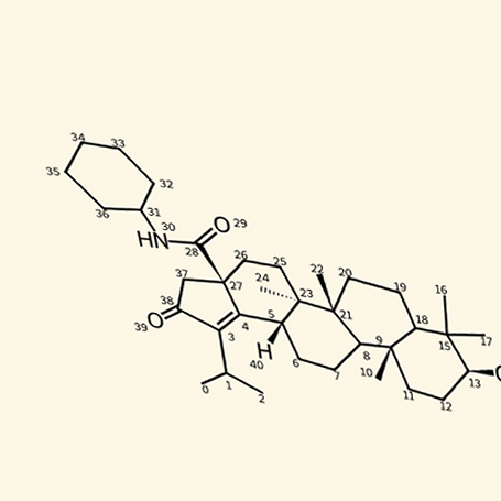 CC(C)C1=C2[C@H]3CCC4[C@@]5(C)CC[C@H](O)C(C)(C)C5CC[C@@]4(C)[C@]3(C)CC[C@@]2(C(=O)NC2CCCCC2)CC1=O